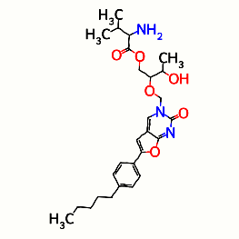 CCCCCc1ccc(-c2cc3cn(COC(COC(=O)C(N)C(C)C)C(C)O)c(=O)nc3o2)cc1